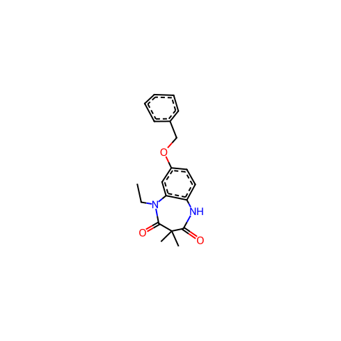 CCN1C(=O)C(C)(C)C(=O)Nc2ccc(OCc3ccccc3)cc21